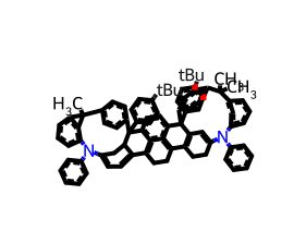 CC(C)(C)c1ccc(C23C4=C(CCC(=C4)N(c4ccccc4)c4cccc(c4)C(C)(C)c4ccc2cc4)C2=c4c3ccc3c4=C(CC2)C2=CC=C4CC2C3(c2ccc(C(C)(C)C)cc2)c2ccc(cc2)C2(C)c3cccc(c32)N4c2ccccc2)cc1